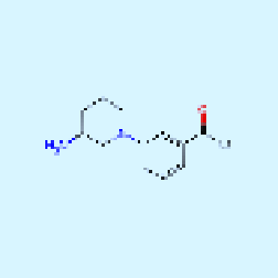 CCC(=O)c1cccc(N2CCC[C@H](N)C2)c1